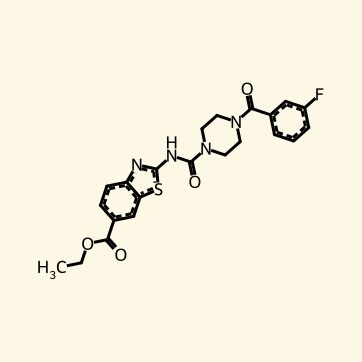 CCOC(=O)c1ccc2nc(NC(=O)N3CCN(C(=O)c4cccc(F)c4)CC3)sc2c1